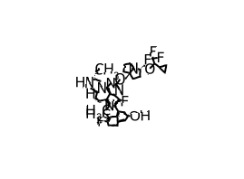 CC[C@@H]1CN2c3nc(OC[C@@]45CCCN4[C@H](COC(C4CC4)C(F)(F)F)CC5)nc4c(F)c(-c5cc(O)cc6ccc(F)c(C)c56)[n+](C)c(c34)CC[C@@H]2CN1